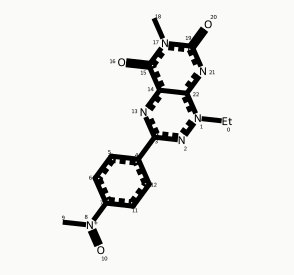 CCn1nc(-c2ccc([N+](C)=O)cc2)nc2c(=O)n(C)c(=O)nc1-2